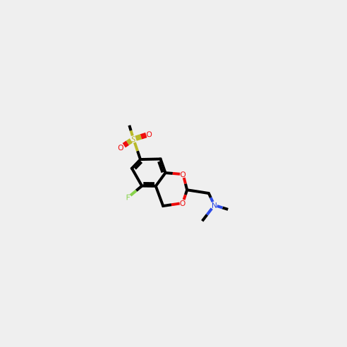 CN(C)CC1OCc2c(F)cc(S(C)(=O)=O)cc2O1